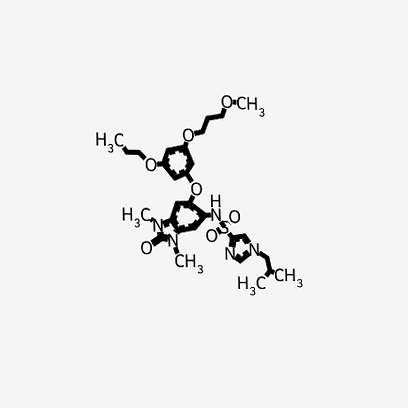 CCCOc1cc(OCCCOC)cc(Oc2cc3c(cc2NS(=O)(=O)c2cn(CC(C)C)cn2)n(C)c(=O)n3C)c1